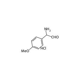 COc1ccc(C(N)C=O)cc1.Cl